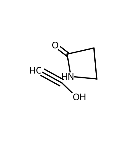 C#CO.O=C1CCN1